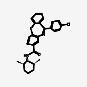 C[C@@H]1CCC[C@H](C)N1NC(=O)c1ccc2c(c1)N=C(c1ccc(Cl)cc1)c1ccccc1S2